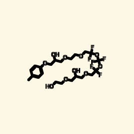 Cc1ccc(OCC(O)COCCOCC(F)(F)OC(F)(F)OC(F)(F)COCC(O)COCCO)cc1